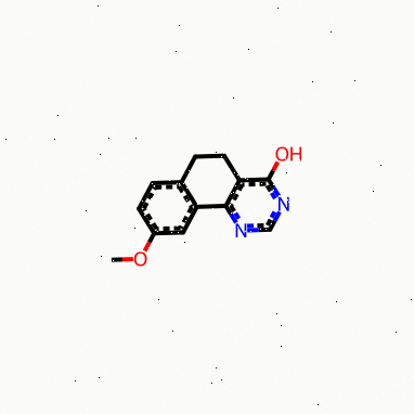 COc1ccc2c(c1)-c1ncnc(O)c1CC2